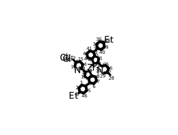 CCc1ccc(-c2cccc3c2C=C(c2ccc(C)cn2)[CH]3[Zr+2][CH]2C(c3ccc(C)cn3)=Cc3c(-c4ccc(CC)cc4)cccc32)cc1.[Cl-].[Cl-]